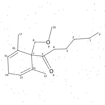 CCCCCC(=O)C1(COC)C(C)=CCC=C1C